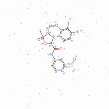 COc1c([C@@H]2[C@@H](C(=O)Nc3ccnc([S@@+](C)[O-])c3)OC(C)(C)[C@@H]2C)ccc(F)c1F